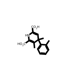 CC1=C(C(=O)O)NC(C(=O)O)=CC1(C)c1ccccc1C